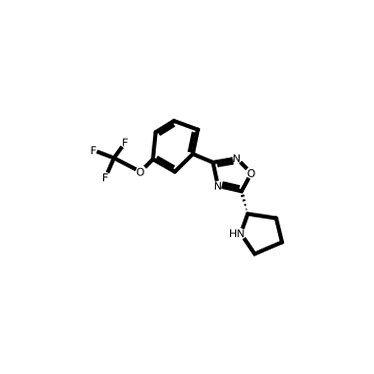 FC(F)(F)Oc1cccc(-c2noc([C@@H]3CCCN3)n2)c1